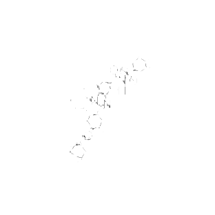 O=C(NS(=O)(=O)c1ccccc1)c1ccc2c(c1)nc(-c1ccc(OCc3ccccc3)cc1)n2C1CCCCC1